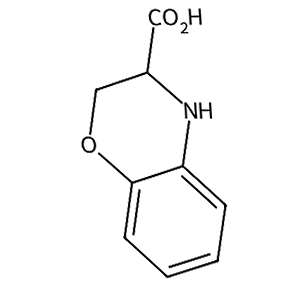 O=C(O)C1COc2ccccc2N1